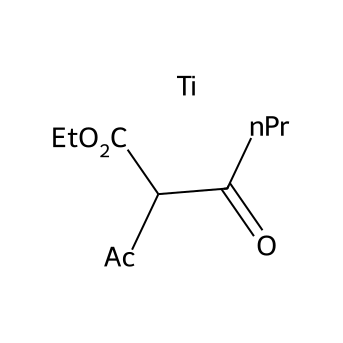 CCCC(=O)C(C(C)=O)C(=O)OCC.[Ti]